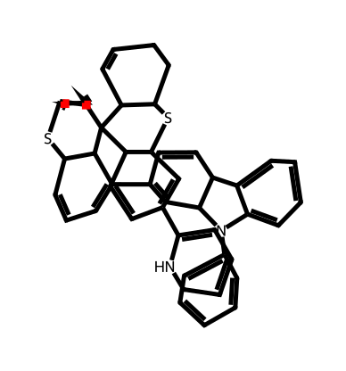 C1=CCNC(C2=CC3SC4CCC=CC4C4(C5=CCCC=C5SC5C=CC=C(C6=CC7C(C=C6)c6ccccc6N7c6ccccc6)C54)C3C=C2)=C1